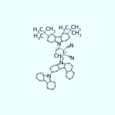 C/C=C(\C(C#N)=C(\C#N)Cn1c2ccc(-n3c4ccccc4c4ccccc43)cc2c2c3ccccc3ccc21)n1c2ccc(C(C)(C)C)cc2c2cc(C(C)(C)C)ccc21